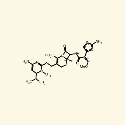 CO/N=C(\C(=O)NC1C(=O)N2C(C(=O)O)=C(CSC3=NC(N)=CC(N(C)C)N3C)CS[C@@H]12)c1csc(N)n1